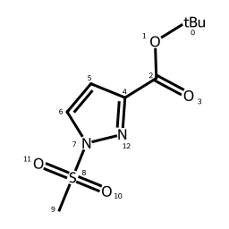 CC(C)(C)OC(=O)c1ccn(S(C)(=O)=O)n1